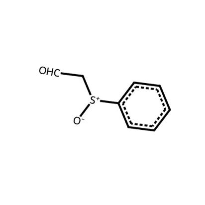 O=CC[S+]([O-])c1ccccc1